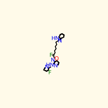 Fc1cccnc1CNc1nccc2oc([C@H](F)CCCCCCc3nc4ccccc4[nH]3)nc12